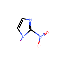 O=[N+]([O-])c1nccn1I